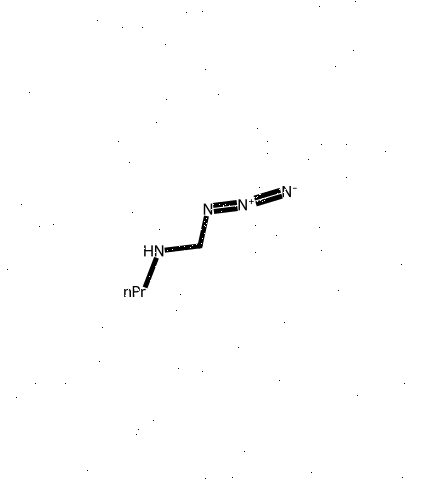 CCCNCN=[N+]=[N-]